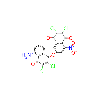 Nc1cccc2c1C(=O)C(Cl)=C(Cl)C2=O.O=C1C(Cl)=C(Cl)C(=O)c2c1cccc2[N+](=O)[O-]